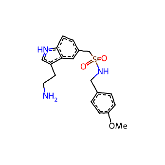 COc1ccc(CNS(=O)(=O)Cc2ccc3[nH]cc(CCN)c3c2)cc1